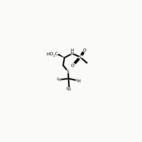 [2H]C([2H])([2H])SC[C@H](NS(C)(=O)=O)C(=O)O